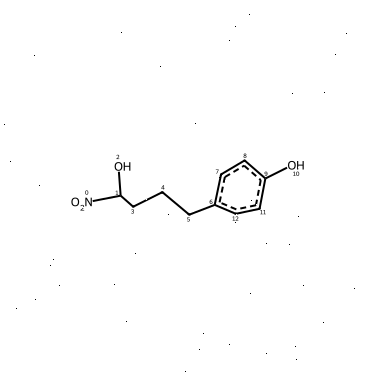 O=[N+]([O-])C(O)CCCc1ccc(O)cc1